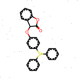 O=C1Oc2ccccc2C1Oc1ccc([S+](c2ccccc2)c2ccccc2)cc1